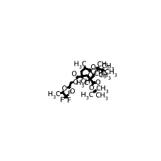 CCC(C)(CC(C)(CC(C)C(=O)OC(C)(C)C(C)(C)C)C(=O)OCC(=O)OC(C)C(F)(F)F)C(=O)OC(C)(C)C